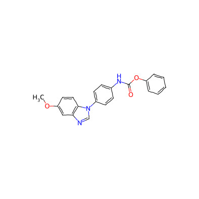 COc1ccc2c(c1)ncn2-c1ccc(NC(=O)Oc2ccccc2)cc1